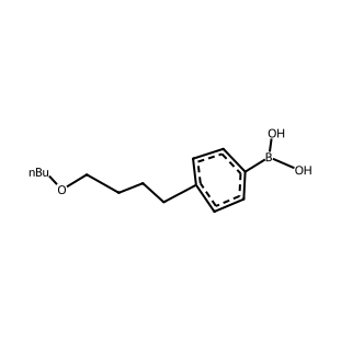 CCCCOCCCCc1ccc(B(O)O)cc1